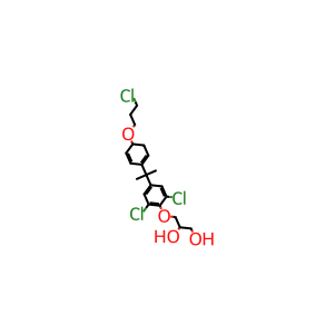 CC(C)(C1=CCC(OCCCCl)C=C1)c1cc(Cl)c(OCC(O)CO)c(Cl)c1